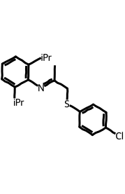 CC(CSc1ccc(Cl)cc1)=Nc1c(C(C)C)cccc1C(C)C